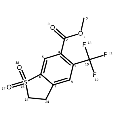 COC(=O)c1cc2c(cc1C(F)(F)F)CCS2(=O)=O